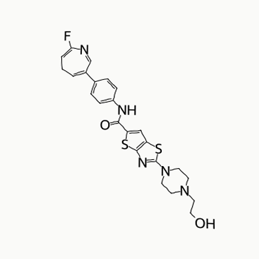 O=C(Nc1ccc(C2=CCC=C(F)N=C2)cc1)c1cc2sc(N3CCN(CCO)CC3)nc2s1